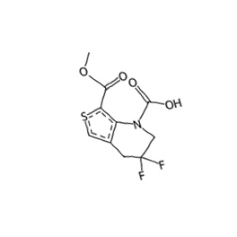 COC(=O)c1scc2c1N(C(=O)O)CC(F)(F)C2